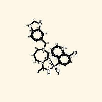 CC(NS(=O)(=O)c1ccc(Cl)c2ncccc12)N1CCCN(Cc2ccc3c(c2)OCO3)CC1